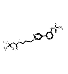 CC(C)(C)OC(=O)NCCCn1cc(-c2cccc(NS(C)(=O)=O)c2)cn1